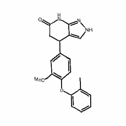 COc1cc(C2CC(=O)Nc3n[nH]cc32)ccc1Oc1ccccc1C